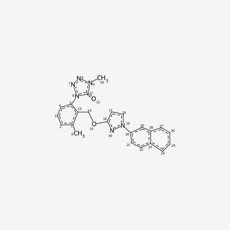 Cc1cccc(-n2nnn(C)c2=O)c1COc1ccn(-c2ccc3ccccc3c2)n1